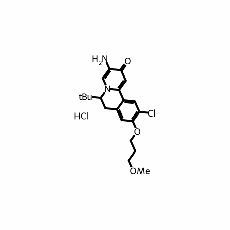 COCCCOc1cc2c(cc1Cl)-c1cc(=O)c(N)cn1C(C(C)(C)C)C2.Cl